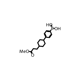 COC(=O)CCC1CCC(c2ccc(B(O)O)cc2)CC1